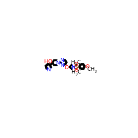 COc1cc(C)c(S(=O)(=O)N2CC(Oc3ccnc(N4CCC(O)(c5cccnc5)CC4)n3)C2)c(C)c1